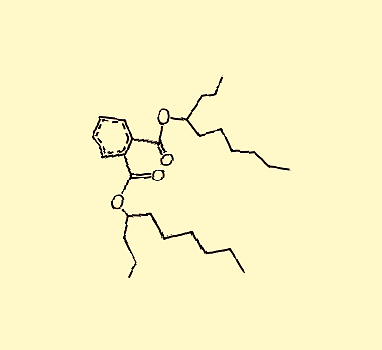 CCCCCCC(CCC)OC(=O)c1ccccc1C(=O)OC(CCC)CCCCCC